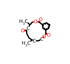 CC1CCCOC(=O)c2cccc(c2)C(=O)OCC(C)CC(=O)CC1